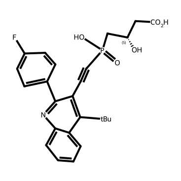 CC(C)(C)c1c(C#CP(=O)(O)C[C@@H](O)CC(=O)O)c(-c2ccc(F)cc2)nc2ccccc12